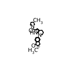 CC[C@H]1Cc2cc(N3CCCc4cc(C(=O)N5CCC(C)C5)[nH]c43)ccc2C1=O